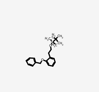 CC(C)(C)[Si](C)(C)OCCc1ccccc1OCc1ccccc1